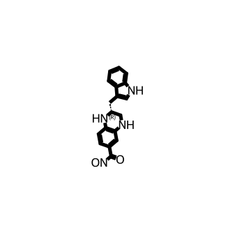 O=NC(=O)c1ccc2c(c1)NC[C@@H](Cc1c[nH]c3ccccc13)N2